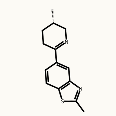 Cc1nc2cc(C3=NC[C@@H](C)CC3)ccc2s1